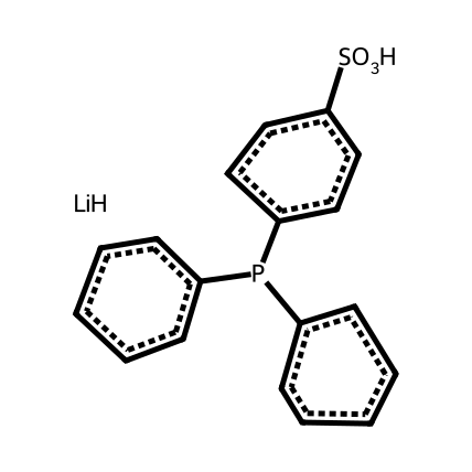 O=S(=O)(O)c1ccc(P(c2ccccc2)c2ccccc2)cc1.[LiH]